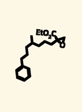 CCOC(=O)C1(CCCC(C)CCCc2ccccc2)CO1